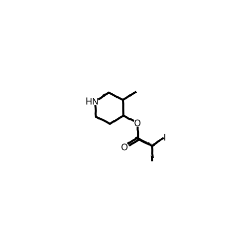 CC(I)C(=O)OC1CCNCC1C